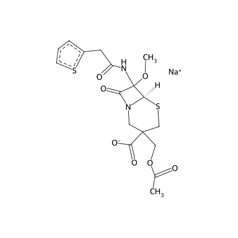 COC1(NC(=O)Cc2cccs2)C(=O)N2CC(COC(C)=O)(C(=O)[O-])CS[C@@H]21.[Na+]